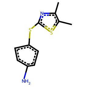 Cc1nc(Sc2ccc(N)cc2)sc1C